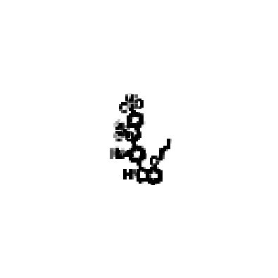 CCCCOc1cccc2c1C(c1ccc(C=Cc3ccc(S(=O)(=O)[O-])cc3S(=O)(=O)[O-])cc1)NC2.[Na+].[Na+]